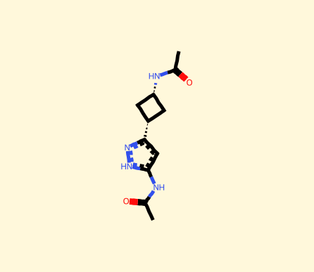 CC(=O)Nc1cc([C@H]2C[C@@H](NC(C)=O)C2)n[nH]1